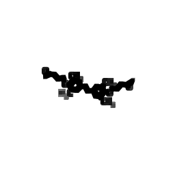 Cc1cc(CCc2cc(C)c(OCCCC3CO3)c(C)c2)cc(C)c1OCCCC1CO1